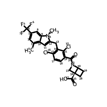 Cc1cc(C(F)(F)F)cc2c1cc(Cc1c(Cl)ccc(C(=O)N3C[C@@]4(C(=O)O)CCC34)c1Cl)n2C